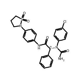 NC(=O)N(c1ccc(Cl)cc1)[C@@H](C(=O)Nc1ccc(N2CCCS2(=O)=O)cc1)c1ccccc1